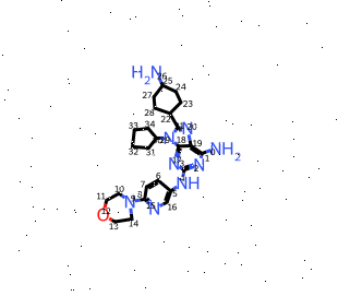 Nc1nc(Nc2ccc(N3CCOCC3)nc2)nc2c1nc(C1CCC(N)CC1)n2C1CCCC1